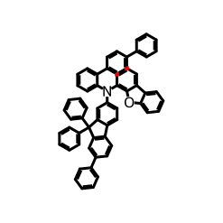 c1ccc(-c2ccc(-c3ccccc3N(c3ccc4c(c3)C(c3ccccc3)(c3ccccc3)c3cc(-c5ccccc5)ccc3-4)c3cccc4c3oc3ccccc34)cc2)cc1